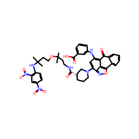 CC(C)(CCOC(C)(C)CCNC(=O)[C@H]1CCCN(c2cc(Nc3cccc(C(=O)O)c3)c3c4c(onc24)-c2ccccc2C3=O)C1)Nc1ccc([N+](=O)[O-])cc1[N+](=O)[O-]